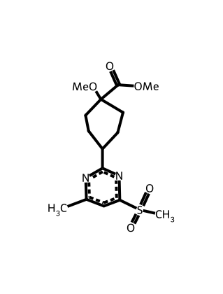 COC(=O)C1(OC)CCC(c2nc(C)cc(S(C)(=O)=O)n2)CC1